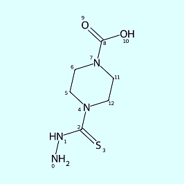 NNC(=S)N1CCN(C(=O)O)CC1